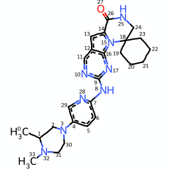 CC1CN(c2ccc(Nc3ncc4cc5n(c4n3)C3(CCCCC3)CNC5=O)nc2)CCN1C